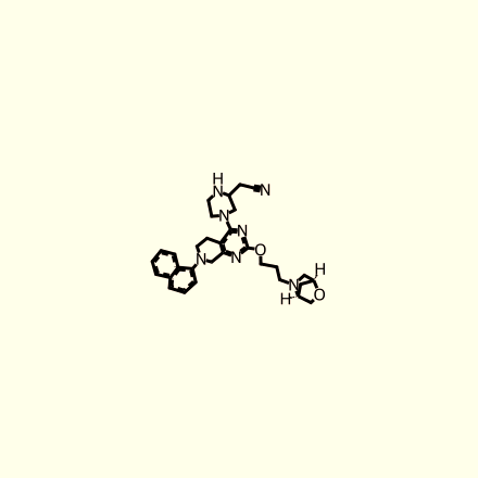 N#CCC1CN(c2nc(OCCCN3C[C@@H]4C[C@H]3CO4)nc3c2CCN(c2cccc4ccccc24)C3)CCN1